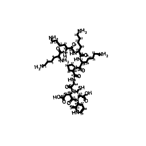 NCCCCC(N)C(=O)NC(CCCCN)C(=O)NC(CCCCN)C(=O)NC(CCCCN)C(=O)N1CCCC1C(=O)NCC(=O)NC(CC(=O)O)C(=O)N(c1ccc[nH]c1=S)[C@H](CS)C(=O)O